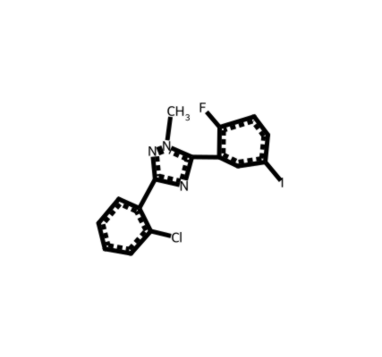 Cn1nc(-c2ccccc2Cl)nc1-c1cc(I)ccc1F